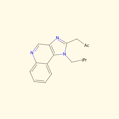 CC(=O)Cc1nc2cnc3ccccc3c2n1CC(C)C